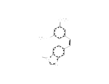 COc1cc(/C=C\c2ccc3c(c2)ncn3C)cc(OC)c1